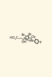 O=C(O)CCC(O)n1nc(C(=O)Nc2ccc(F)cc2F)c(Br)c1Br